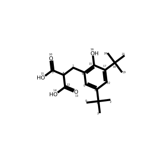 CC(C)(C)c1cc(CC(C(=O)O)C(=O)O)c(O)c(C(C)(C)C)c1